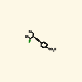 CC/C=C(/C#Cc1ccc(C(=O)O)cc1)C(F)CC